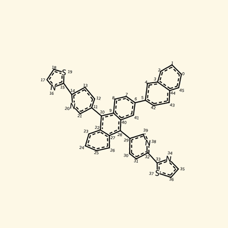 c1ccc2cc(-c3ccc4c(-c5ccc(-c6nccs6)nc5)c5ccccc5c(-c5ccc(-c6nccs6)nc5)c4c3)ccc2c1